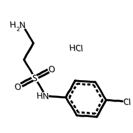 Cl.NCCS(=O)(=O)Nc1ccc(Cl)cc1